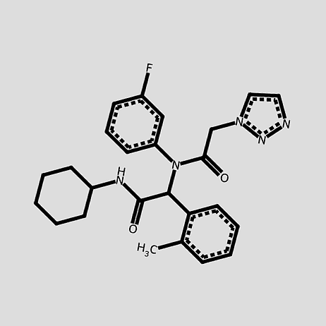 Cc1ccccc1C(C(=O)NC1CCCCC1)N(C(=O)Cn1ccnn1)c1cccc(F)c1